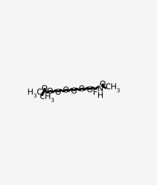 CCC(=O)NCC(F)COCCOCCOCCOCCOCCOCC(=O)C(C)C